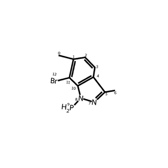 Cc1ccc2c(C)nn(P)c2c1Br